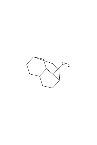 [CH2]C1C2CCC3CCC(CC2)C1C3